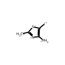 Cc1nc(P)c(I)s1